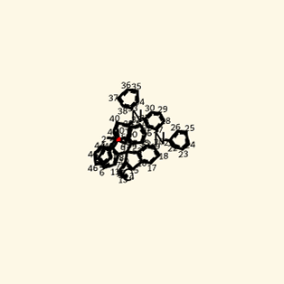 CC1(C)c2ccccc2C2(c3ccccc3-c3ccc(N(c4ccccc4)c4cccc(N(c5ccccc5)c5ccc(-c6ccccc6)cc5)c4)cc32)c2ccccc21